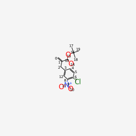 C=C(Cc1ccc(Cl)c([N+](=O)[O-])c1)C(=O)OC(C)(C)C